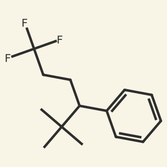 CC(C)(C)C(CCC(F)(F)F)c1ccccc1